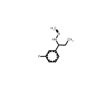 C=NNC(CC)c1cccc(F)c1